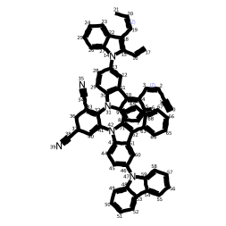 C#C/C=C\c1c(C)ccc2c1c1cc(-n3c(C=C)c(/C=C\C)c4ccccc43)ccc1n2C1=C(C#N)CC(C#N)C=C1n1c2ccc(-n3c4ccccc4c4ccccc43)cc2c2c3ccccc3ccc21